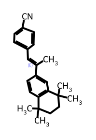 C/C(=C\c1ccc(C#N)cc1)c1ccc2c(c1)C(C)(C)CCC2(C)C